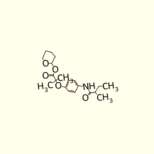 CCC(C)C(=O)Nc1ccc(OC(C)(C)C(=O)OC2CCCCO2)cc1